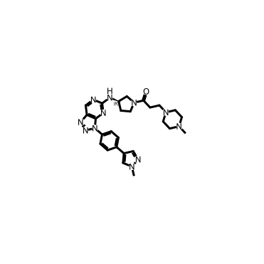 CN1CCN(CCC(=O)N2CC[C@@H](Nc3ncc4nnn(-c5ccc(-c6cnn(C)c6)cc5)c4n3)C2)CC1